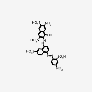 Nc1cc2c(O)c(N=Nc3ccc(N=Nc4ccc([N+](=O)[O-])cc4S(=O)(=O)O)c4ccc(S(=O)(=O)O)cc34)c(S(=O)(=O)O)cc2cc1S(=O)(=O)O